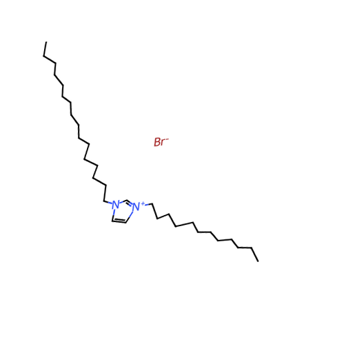 CCCCCCCCCCCCCCCCn1cc[n+](CCCCCCCCCCCC)c1.[Br-]